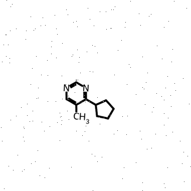 Cc1cn[c]nc1C1CCCC1